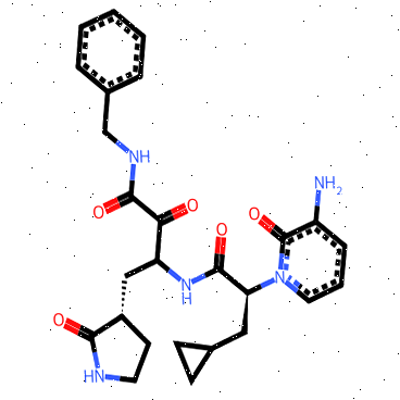 Nc1cccn([C@@H](CC2CC2)C(=O)NC(C[C@@H]2CCNC2=O)C(=O)C(=O)NCc2ccccc2)c1=O